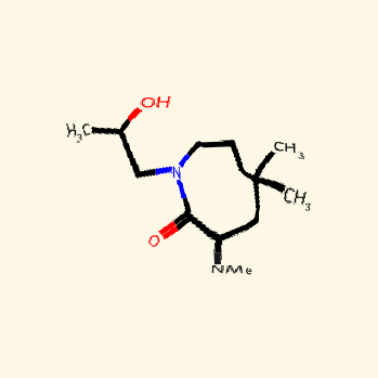 CNC1CC(C)(C)CCN(CC(C)O)C1=O